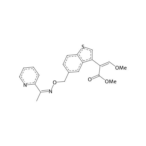 COC=C(C(=O)OC)c1csc2ccc(CON=C(C)c3ccccn3)cc12